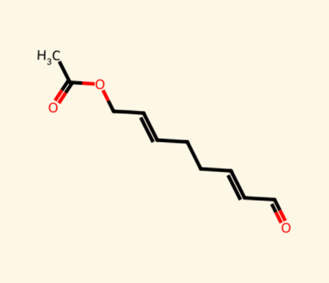 CC(=O)OC/C=C/CC/C=C/C=O